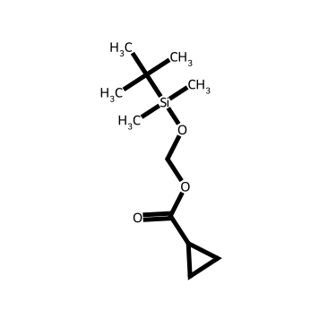 CC(C)(C)[Si](C)(C)OCOC(=O)C1CC1